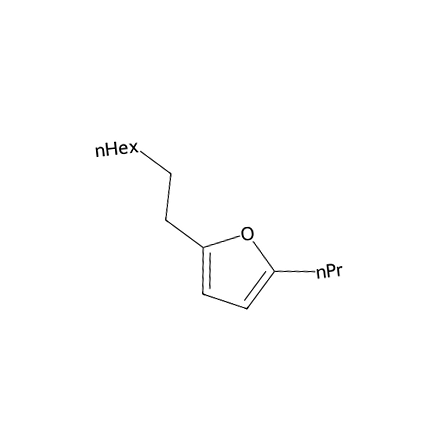 CCCCCCCCc1ccc(CCC)o1